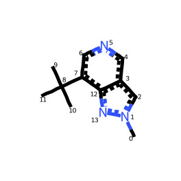 Cn1cc2cncc(C(C)(C)C)c2n1